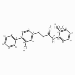 O=C(CCc1ccc(-c2ccccc2)c(Cl)c1)Nc1ccccc1C(=O)O